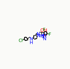 OC(CN1C=C2C=C(NCc3ccc(Cl)cc3)C=CC2N1)(Cn1cncn1)c1ccc(F)cc1F